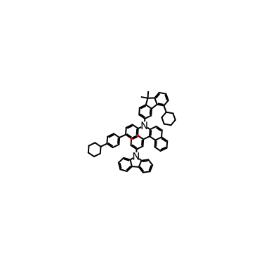 CC1(C)c2ccc(N(c3ccc(-c4ccc(C5CCCCC5)cc4)cc3)c3ccc4ccccc4c3-c3cccc(-n4c5ccccc5c5ccccc54)c3)cc2-c2c(C3CCCCC3)cccc21